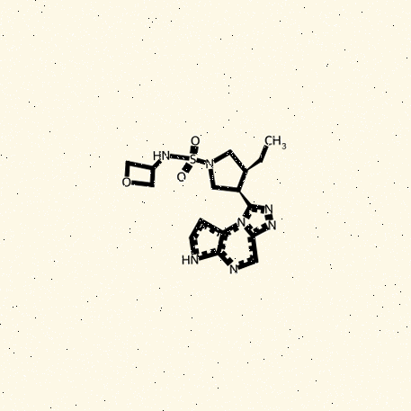 CC[C@@H]1CN(S(=O)(=O)NC2COC2)C[C@@H]1c1nnc2cnc3[nH]ccc3n12